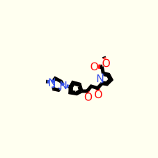 COC(=O)c1cccc(C(=O)CC(=O)c2ccc(N3CCN(C)CC3)cc2)n1